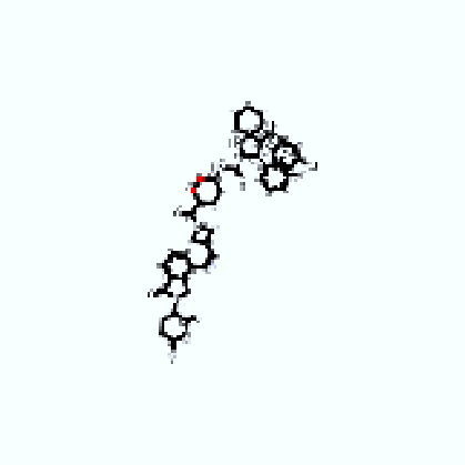 O=C1CCC(N2Cc3c(/C=C\C4CN(C(=O)C56CCC(NC(=O)[C@@H]7NC8(CCCCC8)[C@@]8(C(=O)Nc9cc(Cl)ccc98)[C@H]7c7cccc(Cl)c7F)(CC5)CC6)C4)cccc3C2=O)C(=O)N1